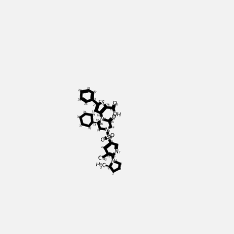 C[C@@H]1CCCN1c1ncc(S(=O)(=O)N2CC(=O)N(c3cc(-c4ccccc4)sc3C(=O)O)[C@H](C3CCCCC3)C2)cc1Cl